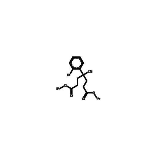 CCc1ccccc1C(C#N)(CCC(=O)OC(C)C)CCC(=O)OC(C)C